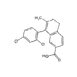 CC1=C(c2ccc(Cl)cc2Cl)c2cc(C(=O)O)ccc2CC1